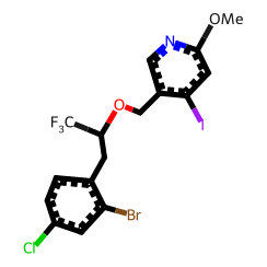 COc1cc(I)c(COC(Cc2ccc(Cl)cc2Br)C(F)(F)F)cn1